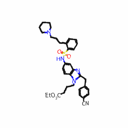 CCOC(=O)CCCn1c(Cc2ccc(C#N)cc2)nc2cc(NS(=O)(=O)c3ccccc3CCCN3CCCCC3)ccc21